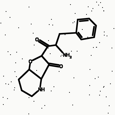 NC(Cc1ccccc1)C(=O)C1OC2CCCNC2C1=O